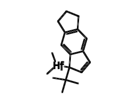 [CH3][Hf]([CH3])[C]1(C(C)(C)C)C=Cc2cc3c(cc21)CCC3